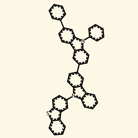 c1ccc(-c2ccc3c4cc(-c5ccc6c(c5)c5ccccc5n6-c5ccc6sc7ccccc7c6c5)ccc4n(-c4ccccc4)c3c2)cc1